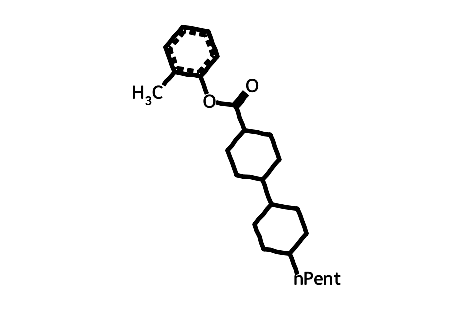 CCCCCC1CCC(C2CCC(C(=O)Oc3ccccc3C)CC2)CC1